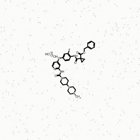 CN1CCN(C2CCN(C(=O)Nc3cc(Oc4ccc(NC(=O)C5(C(=O)OCc6ccccc6)CC5)c(F)c4)ccn3)CC2)CC1.Cl.Cl.Cl